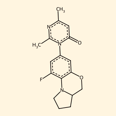 Cc1cc(=O)n(-c2cc(F)c3c(c2)OCC2CCCN32)c(C)n1